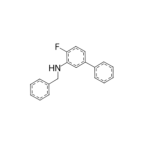 Fc1ccc(-c2ccccc2)cc1NCc1ccccc1